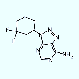 Nc1ncnc2c1nnn2C1CCCC(F)(F)C1